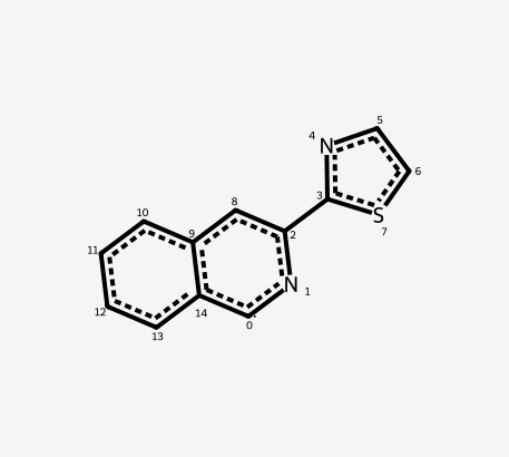 [c]1nc(-c2nccs2)cc2ccccc12